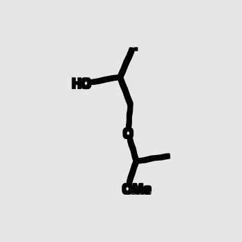 [CH2]C(O)COC(C)OC